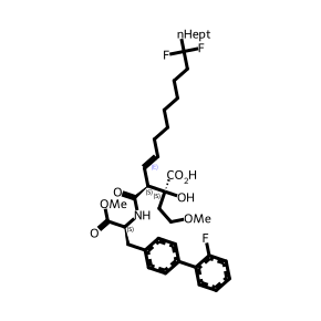 CCCCCCCC(F)(F)CCCCCC/C=C/[C@H](C(=O)N[C@@H](Cc1ccc(-c2ccccc2F)cc1)C(=O)OC)[C@@](O)(CCOC)C(=O)O